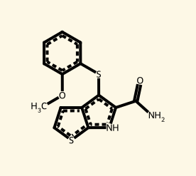 COc1ccccc1Sc1c(C(N)=O)[nH]c2sccc12